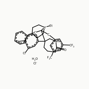 CC[N+]12CCC(c3ccccc3)(CC1)CC2(Cc1cc(C(F)(F)F)cc(C(F)(F)F)c1)C1(c2ccc(Cl)c(Cl)c2)CCCC(=O)NC1.O.[Cl-]